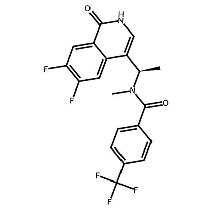 C[C@H](c1c[nH]c(=O)c2cc(F)c(F)cc12)N(C)C(=O)c1ccc(C(F)(F)F)cc1